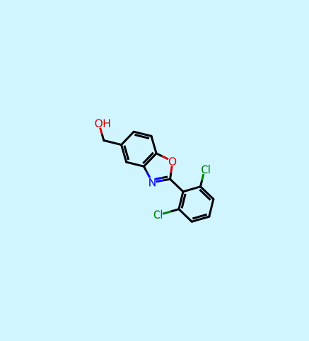 OCc1ccc2oc(-c3c(Cl)cccc3Cl)nc2c1